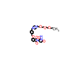 CCCOCCOCCOCCN1CCN(Cc2ccc(COc3cccc4c3C(=O)N(C3CCC(=O)NC3=O)C4=O)cc2)CC1